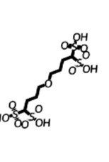 O=S(=O)(O)C(CCCOCCCC(S(=O)(=O)O)S(=O)(=O)O)S(=O)(=O)O